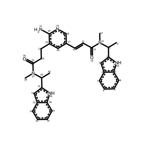 CC(c1cc2ccccc2[nH]1)N(C)C(=O)C=Cc1cnc(N)c(CCC(=O)N(C)C(C)c2cc3ccccc3[nH]2)c1